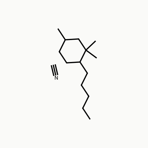 C#N.CCCCCC1CCC(C)CC1(C)C